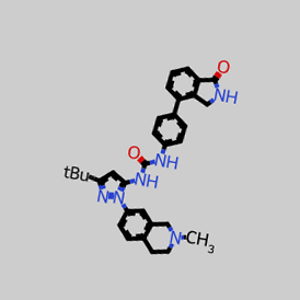 CN1CCc2ccc(-n3nc(C(C)(C)C)cc3NC(=O)Nc3ccc(-c4cccc5c4CNC5=O)cc3)cc2C1